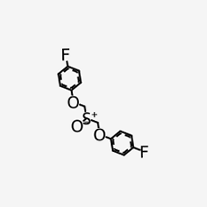 [O-][S+](COc1ccc(F)cc1)COc1ccc(F)cc1